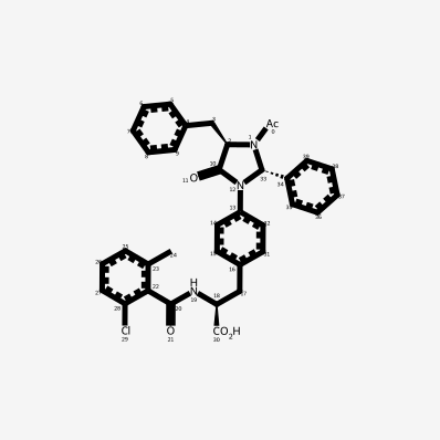 CC(=O)N1[C@H](Cc2ccccc2)C(=O)N(c2ccc(C[C@H](NC(=O)c3c(C)cccc3Cl)C(=O)O)cc2)[C@H]1c1ccccc1